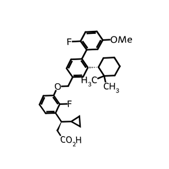 COc1ccc(F)c(-c2ccc(COc3cccc([C@H](CC(=O)O)C4CC4)c3F)cc2[C@@H]2CCCCC2(C)C)c1